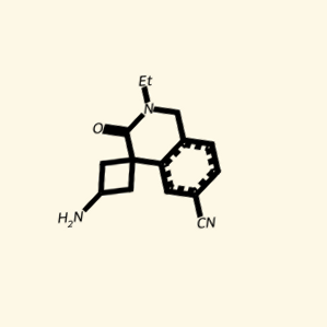 CCN1Cc2ccc(C#N)cc2C2(CC(N)C2)C1=O